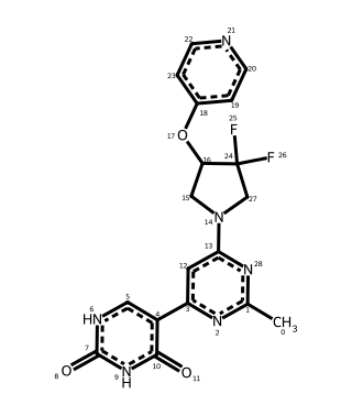 Cc1nc(-c2c[nH]c(=O)[nH]c2=O)cc(N2CC(Oc3ccncc3)C(F)(F)C2)n1